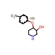 Br.O=[N+]([O-])c1ccc(OC2CCNCC2O)cc1